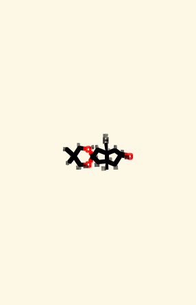 CC1(C)COC2(C[C@@H]3CC(=O)C[C@]3(C)C2)OC1